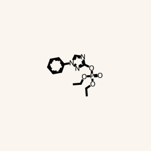 CCOP(=O)(OCC)Oc1ncn(-c2ccccc2)n1